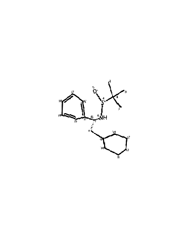 CC(C)(C)[S+]([O-])N[C@H](CC1CCCCC1)c1ccccc1